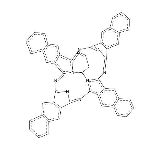 O=CCC1n2c3c4cc5ccccc5cc4c2/N=C2N=C(/N=c4/c5cc6ccccc6cc5/c(n41)=N/C1=NC(=N\3)/c3cc4ccccc4cc31)c1cc3ccccc3cc1\2